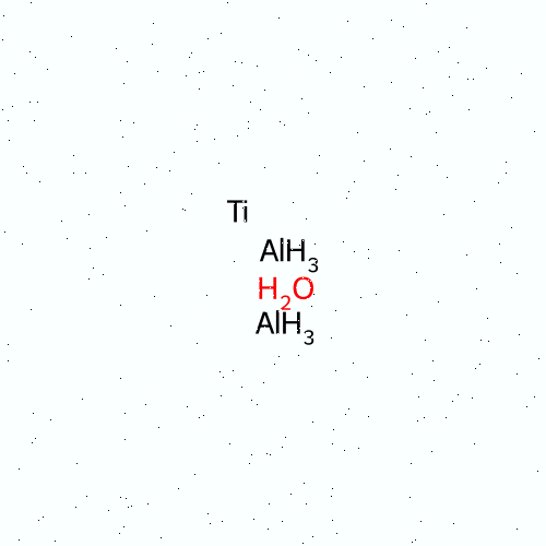 O.[AlH3].[AlH3].[Ti]